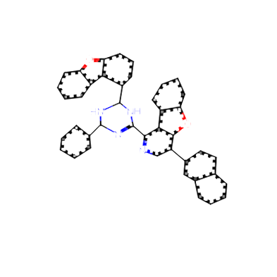 c1ccc(C2N=C(c3ncc(-c4ccc5ccccc5c4)c4oc5ccccc5c34)NC(c3cccc4oc5ccccc5c34)N2)cc1